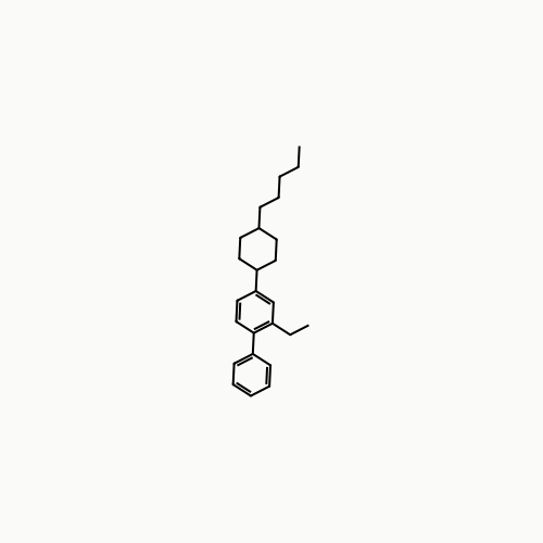 CCCCCC1CCC(c2ccc(-c3ccccc3)c(CC)c2)CC1